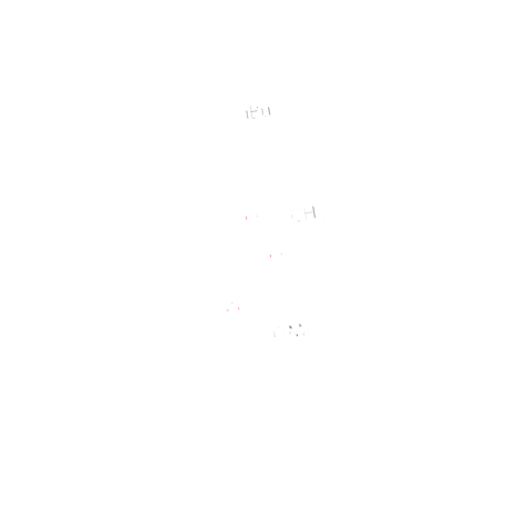 CCC(C)c1ccc(OC(C)OCCOc2ccc3ccccc3c2OC)cc1